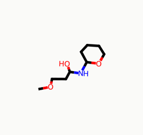 COCCC(O)NC1CCCCO1